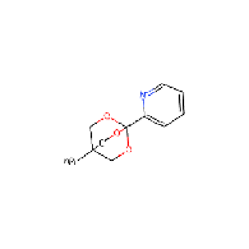 CCCC12COC(c3ccccn3)(OC1)OC2